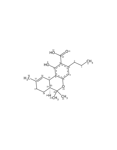 CCCc1cc2c(c(O)c1C(=O)O)C1C=C(C)CC[C@@H]1C(C)(C)O2